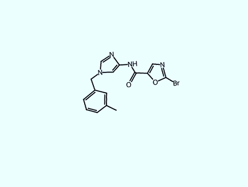 Cc1cccc(Cn2cnc(NC(=O)c3cnc(Br)o3)c2)c1